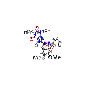 CCCn1c(=O)c2c(nc(C=Cc3cc(OC)c(OC)cc3S(=O)(=O)Nc3ccccc3)n2C)n(CCC)c1=O